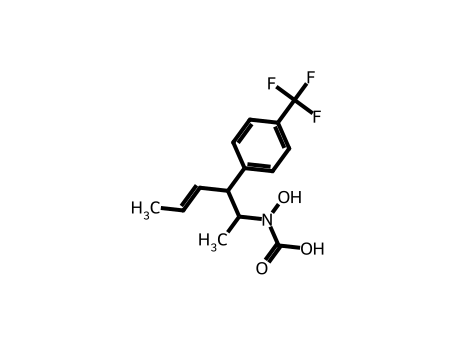 C/C=C/C(c1ccc(C(F)(F)F)cc1)C(C)N(O)C(=O)O